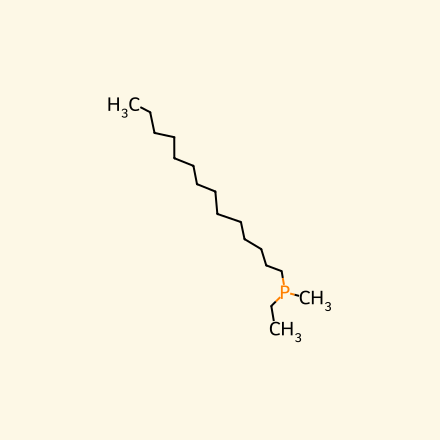 CCCCCCCCCCCCCCP(C)CC